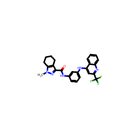 Cn1nc(C(=O)Nc2cccc(Nc3cc(C(F)(F)F)nc4ccccc34)c2)c2c1CCCC2